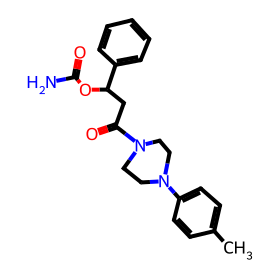 Cc1ccc(N2CCN(C(=O)CC(OC(N)=O)c3ccccc3)CC2)cc1